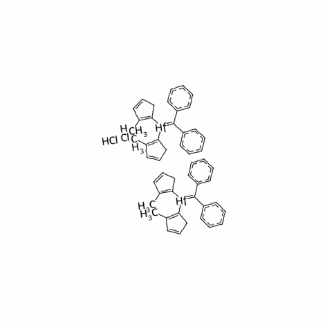 CC1=[C]([Hf]([C]2=C(C)C=CC2)=[C](c2ccccc2)c2ccccc2)CC=C1.CC1=[C]([Hf]([C]2=C(C)C=CC2)=[C](c2ccccc2)c2ccccc2)CC=C1.Cl.Cl